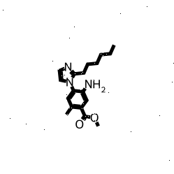 CCCCCCc1nccn1-c1cc(C)c(C(=O)OC)cc1N